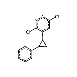 Clc1cc(C2CC2c2ccccc2)c(Cl)nn1